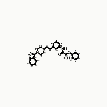 CC(Oc1ccccc1)C(=O)Nc1cccc(CCN2CCN(c3nsc4ccccc34)CC2)c1